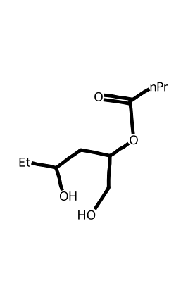 CCCC(=O)OC(CO)CC(O)CC